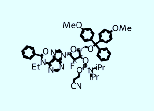 CCN(C(=O)c1ccccc1)c1ncnc2c1ncn2[C@@H]1O[C@H](COC(c2ccccc2)(c2ccc(OC)cc2)c2ccc(OC)cc2)[C@@H](OP(OCCC#N)N(C(C)C)C(C)C)[C@H]1F